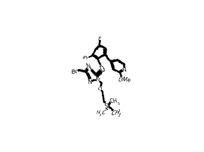 COc1cc(-c2cc(F)cc(C(C)C)c2Oc2nc(Br)nn2COCC[Si](C)(C)C)ccn1